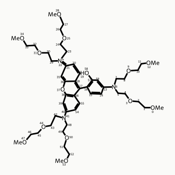 COCCOCCN(CCOCCOC)c1ccc(-c2c3ccc(=[N+](CCOCCOC)CCOCCOC)cc-3oc3cc(N(CCOCCOC)CCOCCOC)ccc23)c(O)c1